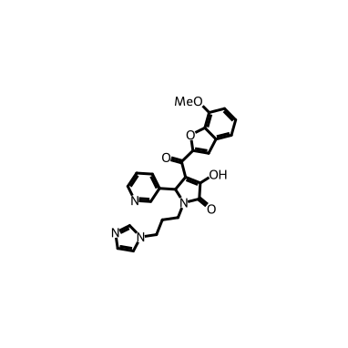 COc1cccc2cc(C(=O)C3=C(O)C(=O)N(CCCn4ccnc4)C3c3cccnc3)oc12